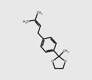 CC(C)=CCc1ccc(C2(C)OCCO2)cc1